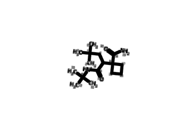 CC(C)(C)CC(C(=O)NC(C)(C)C)C1(C(N)=O)CCC1